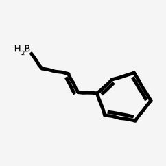 BCC=Cc1ccccc1